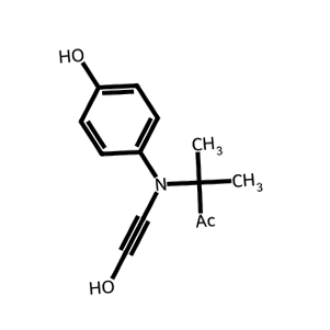 CC(=O)C(C)(C)N(C#CO)c1ccc(O)cc1